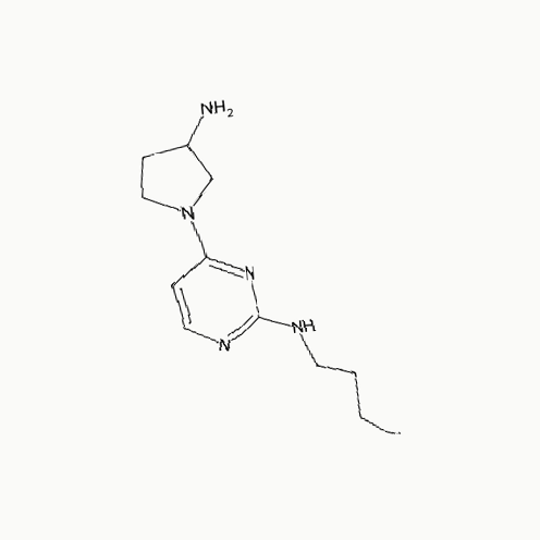 CCCCNc1nccc(N2CCC(N)C2)n1